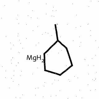 [CH2]C1CCCCC1.[MgH2]